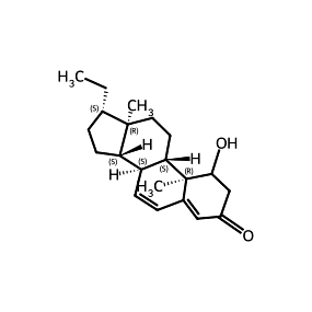 CC[C@H]1CC[C@H]2[C@@H]3C=CC4=CC(=O)CC(O)[C@]4(C)[C@H]3CC[C@]12C